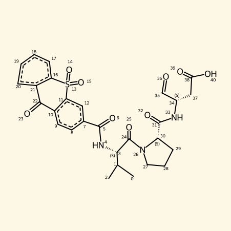 CC(C)[C@H](NC(=O)c1ccc2c(c1)S(=O)(=O)c1ccccc1C2=O)C(=O)N1CCC[C@H]1C(=O)N[C@H](C=O)CC(=O)O